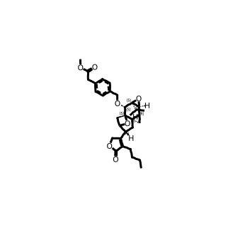 CCCCC1=C([C@H]2C[C@]34C[C@H]3[C@@H]3O[C@]3(C(C)C)[C@@H](OCc3ccc(CC(=O)OC)cc3)[C@]43CC2O3)COC1=O